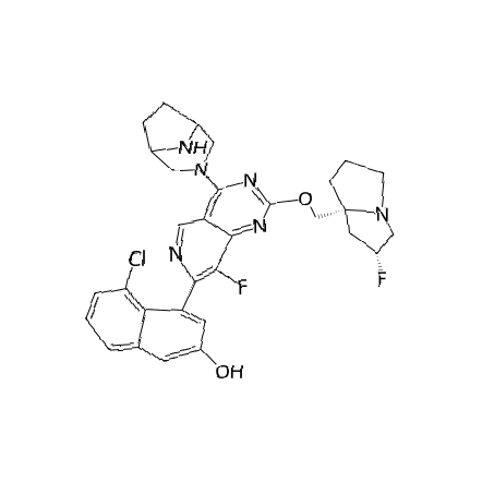 Oc1cc(-c2ncc3c(N4CC5CCC(C4)N5)nc(OC[C@]45CCCN4C[C@H](F)C5)nc3c2F)c2c(Cl)cccc2c1